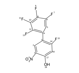 O=[N+]([O-])c1cc(-c2cc(F)c(F)c(F)c2F)c(F)cc1O